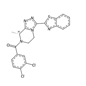 C[C@@H]1c2nnc(-c3nc4ccccc4s3)n2CCN1C(=O)c1ccc(Cl)c(Cl)c1